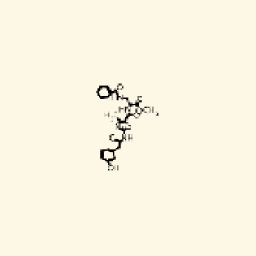 COC(=O)[C@H](CNC(=O)c1ccccc1)NC(=O)c1sc(NC(=O)Cc2cccc(O)c2)nc1C